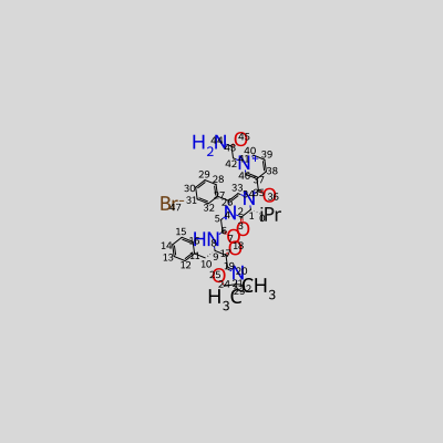 CC(C)[C@@H]1C(=O)N(CC(=O)N[C@@H](Cc2ccccc2)C(=O)C2=NC(C)(C)CO2)C(c2ccccc2)=CN1C(=O)c1ccc[n+](CC(N)=O)c1.[Br-]